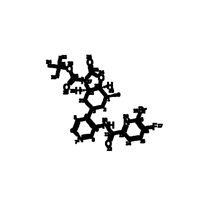 C[C@H]1CC(c2ccncc2NC(=O)c2ccc(F)c(Br)n2)C[C@@H]2[C@H]1OC(=O)N2C(=O)OC(C)(C)C